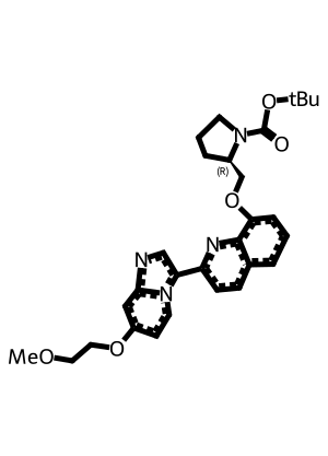 COCCOc1ccn2c(-c3ccc4cccc(OC[C@H]5CCCN5C(=O)OC(C)(C)C)c4n3)cnc2c1